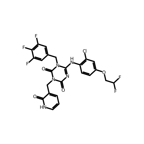 O=c1[nH]cccc1Cn1c(=O)nc(Nc2ccc(OCC(F)F)cc2Cl)n(Cc2cc(F)c(F)c(F)c2)c1=O